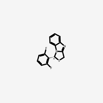 Fc1cccc(F)c1[C@H]1SCc2nc3ccccc3n21